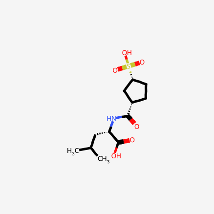 CC(C)C[C@H](NC(=O)[C@H]1CC[C@@H](S(=O)(=O)O)C1)C(=O)O